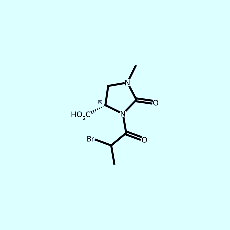 CC(Br)C(=O)N1C(=O)N(C)C[C@H]1C(=O)O